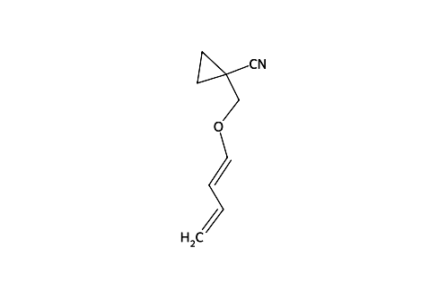 C=C/C=C/OCC1(C#N)CC1